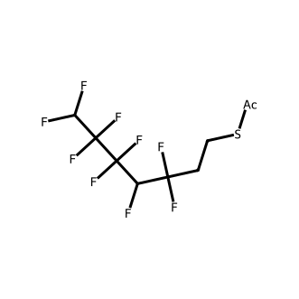 CC(=O)SCCC(F)(F)C(F)C(F)(F)C(F)(F)C(F)F